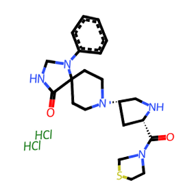 Cl.Cl.O=C([C@@H]1C[C@H](N2CCC3(CC2)C(=O)NCN3c2ccccc2)CN1)N1CCSC1